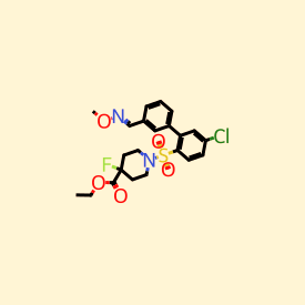 CCOC(=O)C1(F)CCN(S(=O)(=O)c2ccc(Cl)cc2-c2cccc(/C=N/OC)c2)CC1